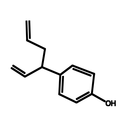 C=CCC(C=C)c1ccc(O)cc1